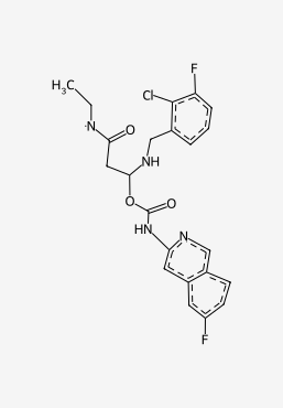 CC[N]C(=O)CC(NCc1cccc(F)c1Cl)OC(=O)Nc1cc2cc(F)ccc2cn1